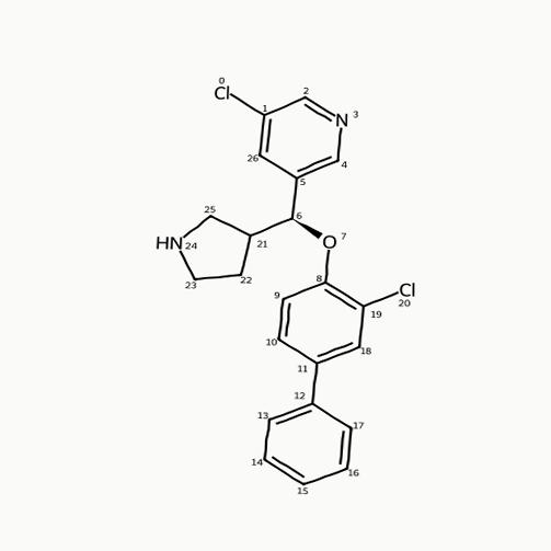 Clc1cncc([C@@H](Oc2ccc(-c3ccccc3)cc2Cl)C2CCNC2)c1